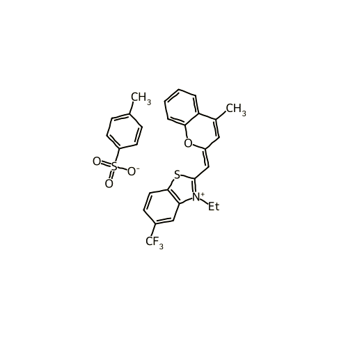 CC[n+]1c(C=C2C=C(C)c3ccccc3O2)sc2ccc(C(F)(F)F)cc21.Cc1ccc(S(=O)(=O)[O-])cc1